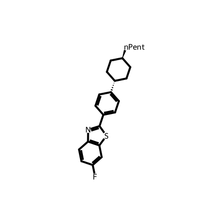 CCCCC[C@H]1CC[C@H](c2ccc(-c3nc4ccc(F)cc4s3)cc2)CC1